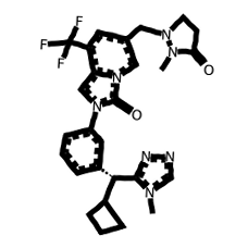 CN1C(=O)CCN1Cc1cc(C(F)(F)F)c2cn(-c3cccc([C@H](c4nncn4C)C4CCC4)c3)c(=O)n2c1